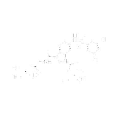 CC(C)(C)OC(=O)CNC(=O)c1cn(C(=O)OC(C)(C)C)c2cc(NS(=O)(=O)c3cc(Cl)cc(Cl)c3)ccc12